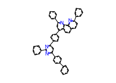 c1ccc(-c2ccc(-c3cc(-c4ccc(-c5cc(-c6ccccc6)nc6c5ccc5ccc(-c7ccccc7)nc56)cc4)nc(-c4ccccc4)n3)cc2)cc1